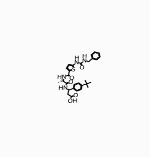 C[C@H](NC(=O)c1ccc(NC(=O)NCc2ccccc2)s1)C(=O)NC(CC(=O)O)c1ccc(C(C)(C)C)cc1